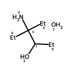 CCC(O)C(N)(CC)CC.O